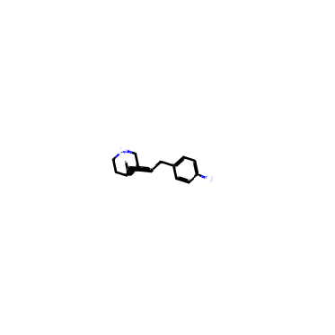 Nc1ccc(C/C=C2\CN3CCC2CC3)cc1